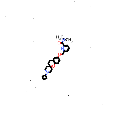 CN(C)C(=O)c1cccc(COc2ccc3c(c2)CCC2(CCN(C4CCC4)CC2)O3)n1